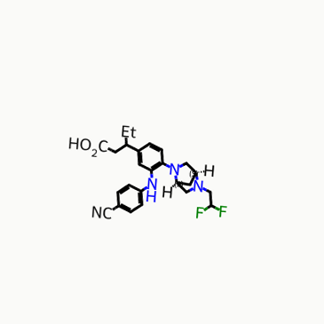 CCC(CC(=O)O)c1ccc(N2C[C@@H]3C[C@H]2CN3CC(F)F)c(Nc2ccc(C#N)cc2)c1